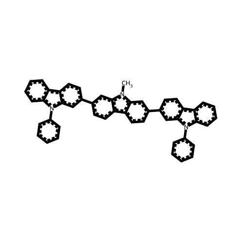 Cn1c2cc(-c3ccc4c5ccccc5n(-c5ccccc5)c4c3)ccc2c2ccc(-c3ccc4c5ccccc5n(-c5ccccc5)c4c3)cc21